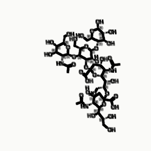 CC(=O)N[C@H]1[C@H](O[C@@H]2[C@H](O[C@]3(C(=O)O)C[C@H](O)[C@@H](NC(C)=O)[C@H]([C@H](O)[C@@H](CO)O[C@]4(C(=O)O)C[C@H](O)[C@@H](NC(C)=O)[C@H]([C@H](O)[C@H](O)CO)O4)O3)[C@@H](O)[C@H](O[C@H]3[C@H](O)[C@@H](O)[C@H](O)O[C@@H]3CO)O[C@@H]2CO)O[C@H](CO)[C@H](O)[C@@H]1O